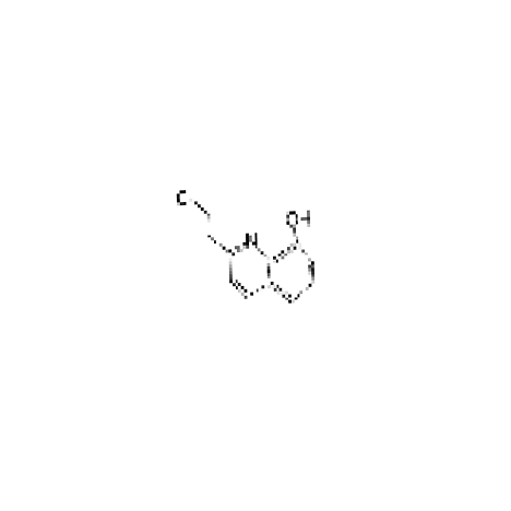 Oc1cccc2ccc(CCCl)nc12